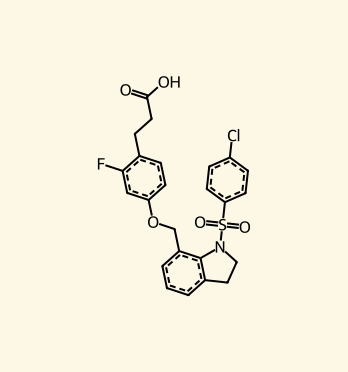 O=C(O)CCc1ccc(OCc2cccc3c2N(S(=O)(=O)c2ccc(Cl)cc2)CC3)cc1F